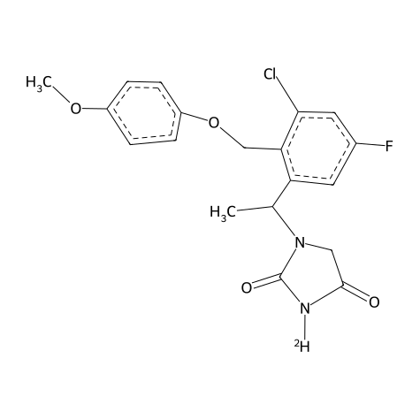 [2H]N1C(=O)CN(C(C)c2cc(F)cc(Cl)c2COc2ccc(OC)cc2)C1=O